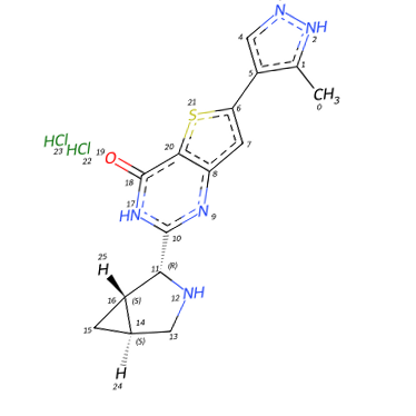 Cc1[nH]ncc1-c1cc2nc([C@@H]3NC[C@H]4C[C@@H]43)[nH]c(=O)c2s1.Cl.Cl